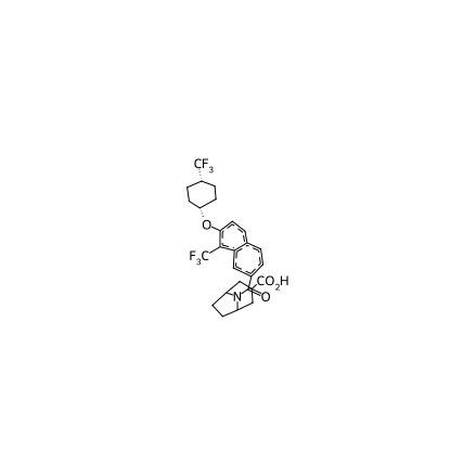 O=C(O)C1CC2CCC(C1)N2C(=O)c1ccc2ccc(O[C@H]3CC[C@@H](C(F)(F)F)CC3)c(C(F)(F)F)c2c1